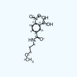 COCCCNC(=O)c1ccc([N+](=O)[O-])c(B(O)O)c1